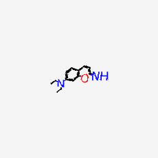 CCN(CC)c1ccc2ccc(=N)oc2c1